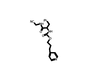 CC(C)CC(NC(=O)OCCCc1ccncc1)C(=O)NCC#N